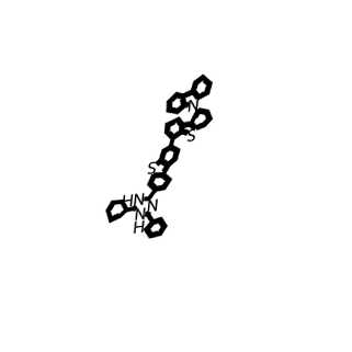 C1=CCC(C2NC(c3ccccc3)=NC(c3ccc4c(c3)sc3cc(-c5cccc6c5sc5cccc(-n7c8ccccc8c8ccccc87)c56)ccc34)N2)C=C1